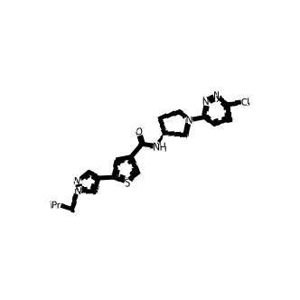 CC(C)Cn1cc(-c2cc(C(=O)N[C@H]3CCN(c4ccc(Cl)nn4)C3)cs2)cn1